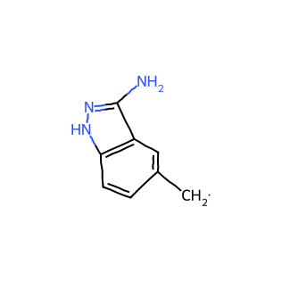 [CH2]c1ccc2[nH]nc(N)c2c1